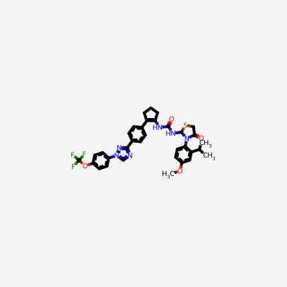 COc1ccc(N2C(=O)CSC2NC(=O)NC2=C(c3ccc(-c4ncn(-c5ccc(OC(F)(F)F)cc5)n4)cc3)CCC2)c(C(C)C)c1